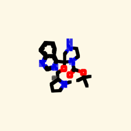 CN1CCC[C@H]1COC1(c2ncnc3ccccc23)CNCCN1C(=O)OC(C)(C)C